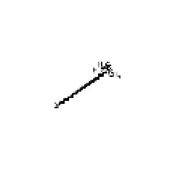 CO[Si](CCCCCCCCCCCCCCCCCCCCCCBr)(OC)OC